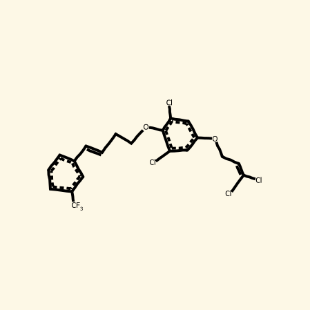 FC(F)(F)c1cccc(C=CCCOc2c(Cl)cc(OCC=C(Cl)Cl)cc2Cl)c1